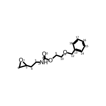 O=C(NCCC1CO1)OCCOCc1ccccc1